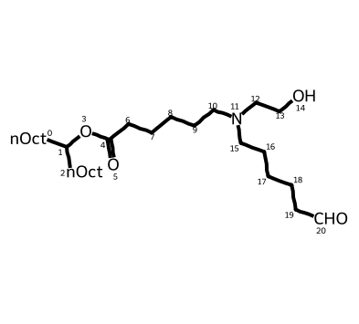 CCCCCCCCC(CCCCCCCC)OC(=O)CCCCCN(CCO)CCCCCC=O